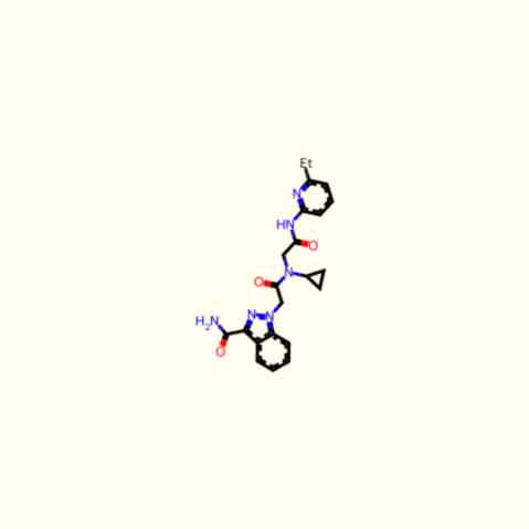 CCc1cccc(NC(=O)CN(C(=O)Cn2nc(C(N)=O)c3ccccc32)C2CC2)n1